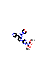 CC(C)(C)OC(=O)N(C(=O)OC(C)(C)C)c1ncc(N2CCc3c(-c4ccncc4)nc(N4CCOCC4)nc32)cn1